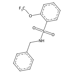 O=S(=O)(NCc1ccccc1)c1ccccc1OC(F)(F)F